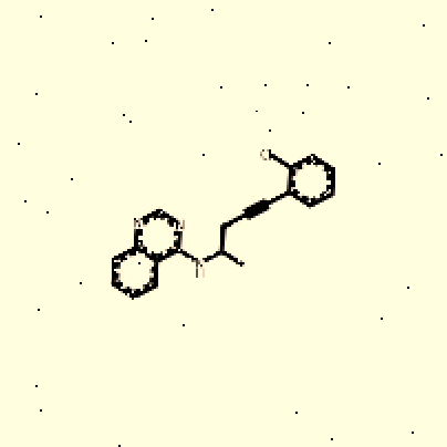 CC(CC#Cc1ccccc1Cl)Nc1ncnc2ccccc12